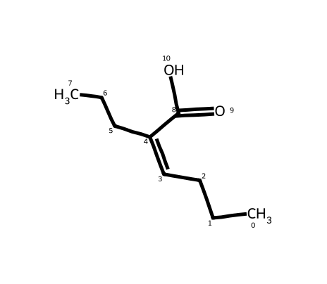 CCCC=C(CCC)C(=O)O